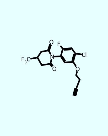 C#CCCOc1cc(N2C(=O)CC(C(F)(F)F)CC2=O)c(F)cc1Cl